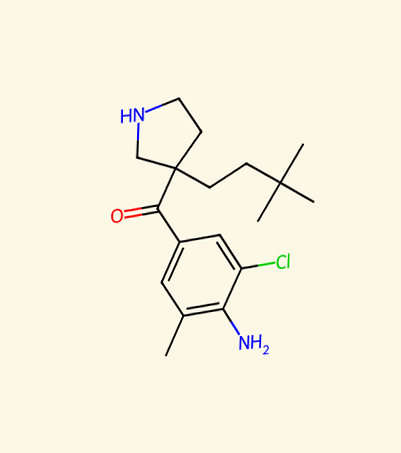 Cc1cc(C(=O)C2(CCC(C)(C)C)CCNC2)cc(Cl)c1N